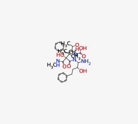 CNC(=O)C(O)(C(=O)N(C(N)C(O)CCc1ccccc1)N(C(=O)O)C(Cc1ccccc1)C(C)O)C(C)(C)C